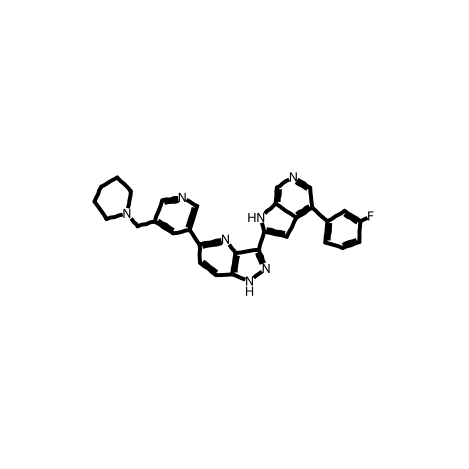 Fc1cccc(-c2cncc3[nH]c(-c4n[nH]c5ccc(-c6cncc(CN7CCCCC7)c6)nc45)cc23)c1